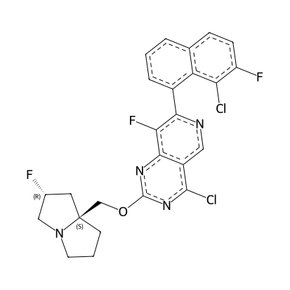 Fc1ccc2cccc(-c3ncc4c(Cl)nc(OC[C@@]56CCCN5C[C@H](F)C6)nc4c3F)c2c1Cl